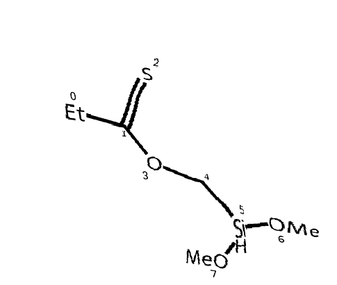 CCC(=S)OC[SiH](OC)OC